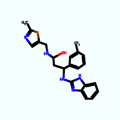 Cc1ncc(CNC(O)CC(Nc2nc3ccccc3[nH]2)c2cccc(C(F)(F)F)c2)s1